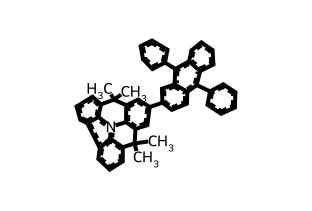 CC1(C)c2cc(-c3ccc4c(-c5ccccc5)c5ccccc5c(-c5ccccc5)c4c3)cc3c2-n2c4c1cccc4c1cccc(c12)C3(C)C